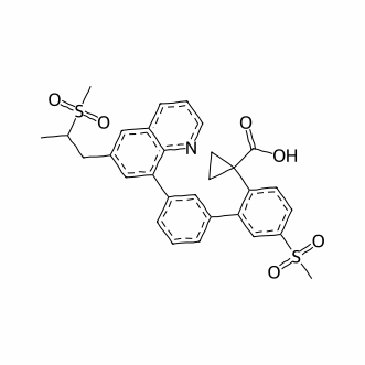 CC(Cc1cc(-c2cccc(-c3cc(S(C)(=O)=O)ccc3C3(C(=O)O)CC3)c2)c2ncccc2c1)S(C)(=O)=O